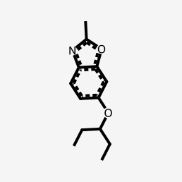 CCC(CC)Oc1ccc2nc(C)oc2c1